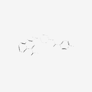 NC(=O)c1cc(NC2CCC(NC(=O)c3ccc(F)c(F)c3)CC2)nc2ccccc12